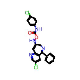 O=C(Nc1ccc(Cl)cc1)ONC1=Cc2ncc(Cl)cc2C(c2ccccc2)=NC1